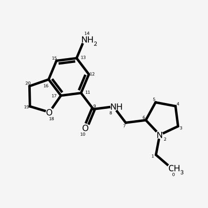 CCN1CCCC1CNC(=O)c1cc(N)cc2c1OCC2